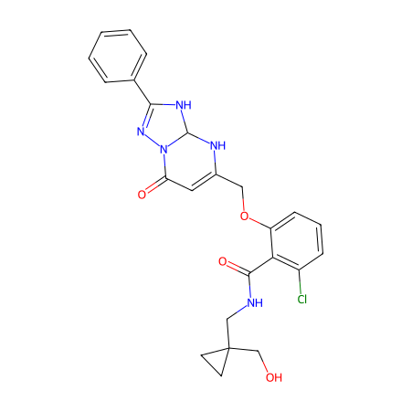 O=C(NCC1(CO)CC1)c1c(Cl)cccc1OCC1=CC(=O)N2N=C(c3ccccc3)NC2N1